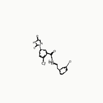 O=C(NCCc1cccc(Cl)c1)c1cc(-n2ncc(=O)[nH]c2=O)ccc1Cl